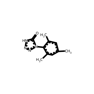 Cc1cc(C)c(-n2nn[nH]c2=O)c(C)c1